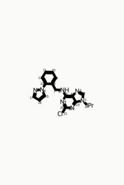 CC(C)n1cnc2c(NCc3ccccc3-n3cccn3)nc(Cl)nc21